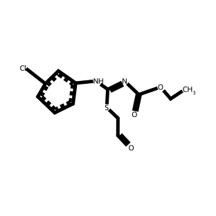 CCOC(=O)/N=C(/Nc1cccc(Cl)c1)SCC=O